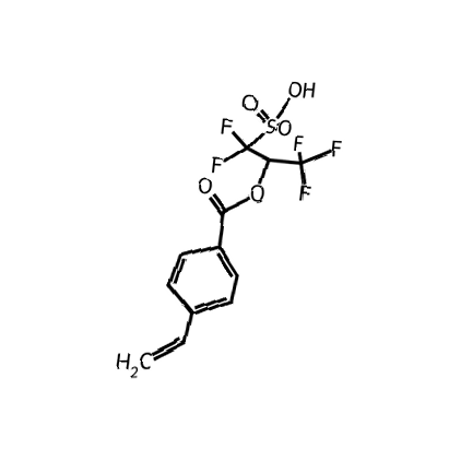 C=Cc1ccc(C(=O)OC(C(F)(F)F)C(F)(F)S(=O)(=O)O)cc1